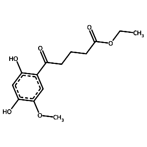 CCOC(=O)CCCC(=O)c1cc(OC)c(O)cc1O